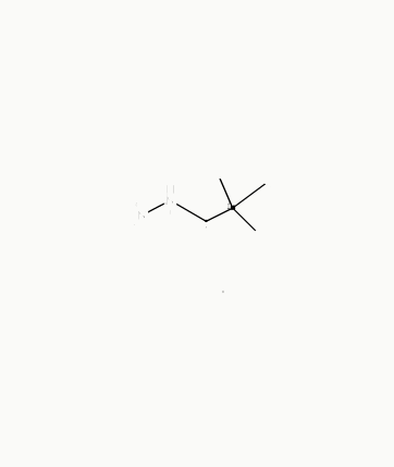 CC(C)(C)CNN.Cl.Cl